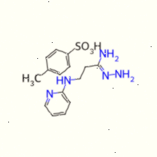 Cc1ccc(S(=O)(=O)O)cc1.NN=C(N)CCNc1ccccn1